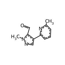 Cc1cccc(-c2cnn(C)c2C=O)n1